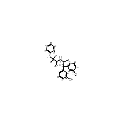 CC(NC(=O)C(C)(C)Oc1ccccn1)C(C)(c1cccc(Cl)c1)c1cccc(Cl)c1